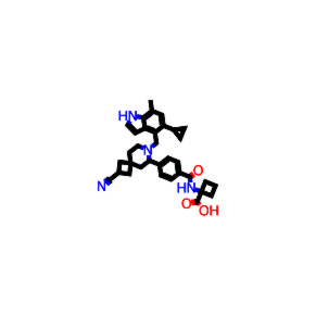 Cc1cc(C2CC2)c(CN2CCC3(CC(C#N)C3)CC2c2ccc(C(=O)NC3(C(=O)O)CCC3)cc2)c2cc[nH]c12